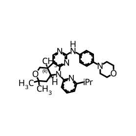 CC(C)c1cccc(N2c3nc(Nc4ccc(N5CCOCC5)cc4)ncc3[C@@]3(C)COC(C)(C)C[C@@H]23)n1